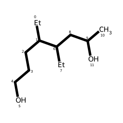 CCC(CCCO)C(CC)CC(C)O